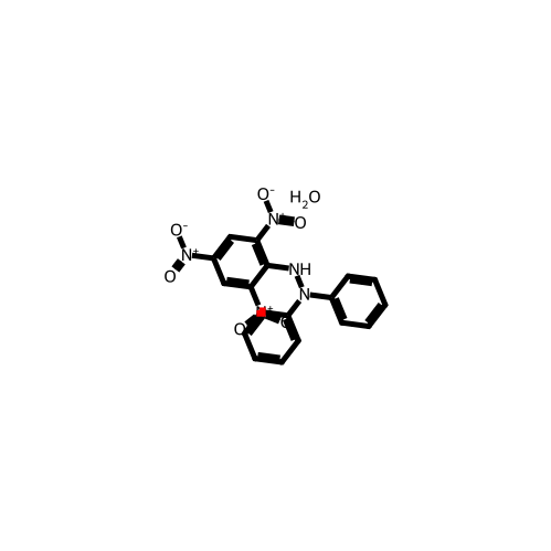 O.O=[N+]([O-])c1cc([N+](=O)[O-])c(NN(c2ccccc2)c2ccccc2)c([N+](=O)[O-])c1